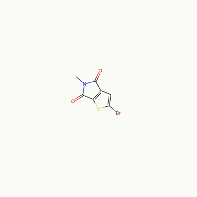 CN1C(=O)c2cc(Br)sc2C1=O